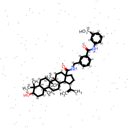 C=C(C)[C@@H]1CCC2(C(=O)NCc3cccc(C(=O)Nc4cccc(C(=O)O)c4)c3)CC[C@]3(C)C(CCC4C5(C)CCC(O)C(C)(C)C5CCC43C)C12